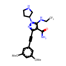 COc1cc(C#Cc2nn([C@H]3CCNC3)c(NCC(F)(F)F)c2C(N)=O)cc(OC)c1